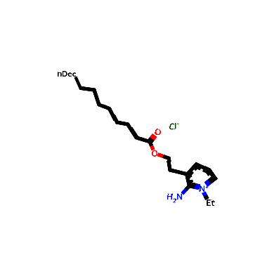 CCCCCCCCCCCCCCCCCC(=O)OCCc1ccc[n+](CC)c1N.[Cl-]